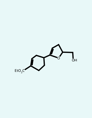 CCOC(=O)C1=CCC(C2=CCC(CO)O2)CC1